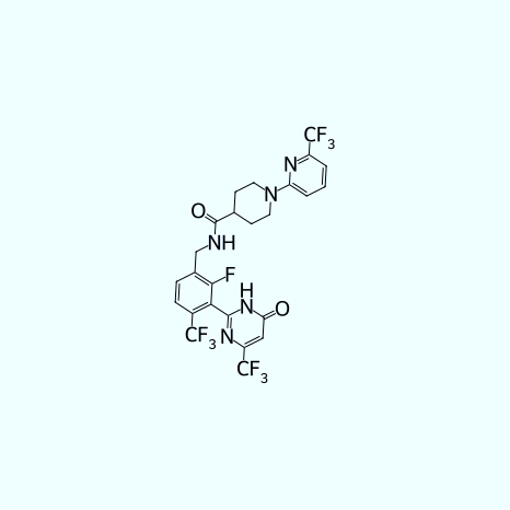 O=C(NCc1ccc(C(F)(F)F)c(-c2nc(C(F)(F)F)cc(=O)[nH]2)c1F)C1CCN(c2cccc(C(F)(F)F)n2)CC1